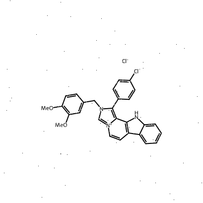 COc1ccc(Cn2c[n+]3ccc4c5ccccc5[nH]c4c3c2-c2ccc(Cl)cc2)cc1OC.[Cl-]